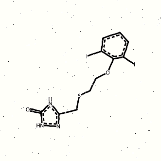 O=c1[nH]nc(CSCCOc2c(I)cccc2I)[nH]1